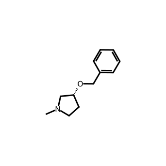 CN1CC[C@@H](OCc2ccccc2)C1